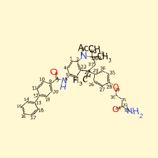 CC(=O)N1c2ccc(NC(=O)c3ccc(-c4ccccc4)cc3)cc2C(C)(c2ccc(OCCC(N)=O)cc2)CC1(C)C